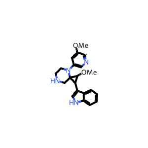 COc1[c]ncc(N2CCNCC23C(OC)C3c2c[nH]c3ccccc23)c1